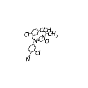 CC(C)N1C[C@@H](N(Cc2cc(Cl)ccc2Cl)c2ccc(C#N)c(Cl)c2)CC1=O